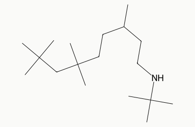 CC(CCNC(C)(C)C)CCC(C)(C)CC(C)(C)C